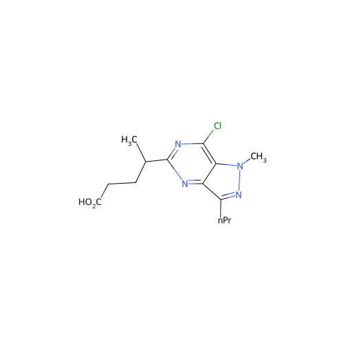 CCCc1nn(C)c2c(Cl)nc(C(C)CCC(=O)O)nc12